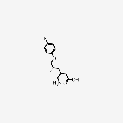 C[C@H](COc1ccc(F)cc1)C[C@H](CN)CC(=O)O